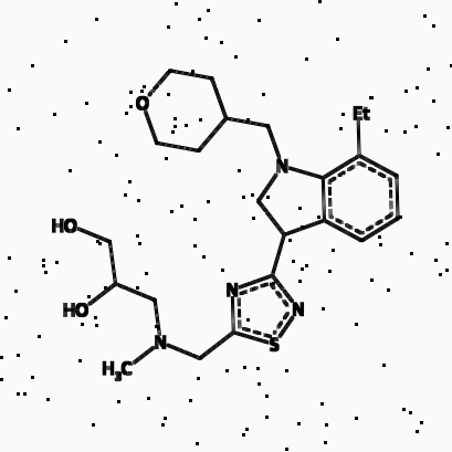 CCc1cccc2c1N(CC1CCOCC1)CC2c1nsc(CN(C)CC(O)CO)n1